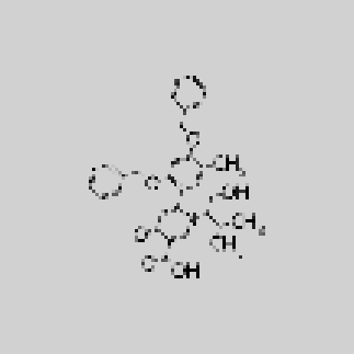 Cc1cc(-c2cc(=O)c(C(=O)O)cn2C(CO)C(C)C)c(OCc2ccccc2)cc1OCc1ccccc1